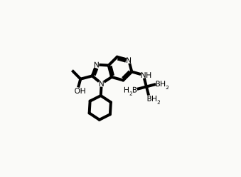 BC(B)(B)Nc1cc2c(cn1)nc(C(C)O)n2C1CCCCC1